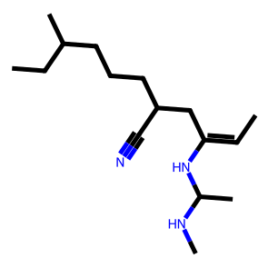 C/C=C(\CC(C#N)CCCC(C)CC)NC(C)NC